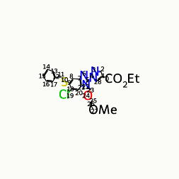 CCOC(=O)c1cnn(-c2nc3cc(SCc4ccccc4)c(Cl)cc3n2COCCOC)c1